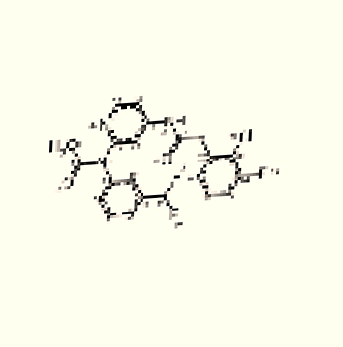 CC(=O)N(c1cccc(C(F)F)c1)c1cc(NC(=O)Cc2cccc(F)c2Cl)ccn1